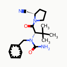 CC(C)(C)[C@@H](C(=O)N1CCC[C@H]1C#N)N(Cc1ccccc1)C(N)=O